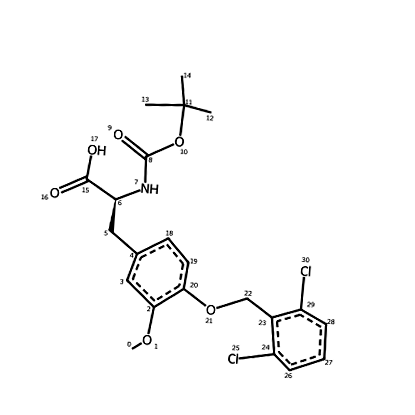 COc1cc(C[C@H](NC(=O)OC(C)(C)C)C(=O)O)ccc1OCc1c(Cl)cccc1Cl